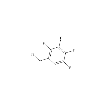 Fc1cc(CCl)c(F)c(F)c1F